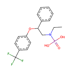 CCN(CC(Oc1ccc(C(F)(F)F)cc1)c1ccccc1)P(=O)(O)O